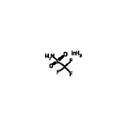 NS(=O)(=O)C(F)(F)F.[InH3]